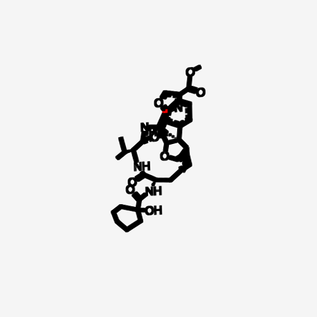 COC(=O)c1coc(-c2nc3oc2[C@@]24c5ccccc5NC2Oc2ccc(cc24)C[C@H](NC(=O)C2(O)CCCCC2)C(=O)N[C@H]3C(C)C)n1